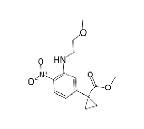 COCCNc1cc(C2(C(=O)OC)CC2)ccc1[N+](=O)[O-]